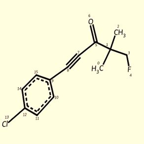 CC(C)(CF)C(=O)C#Cc1ccc(Cl)cc1